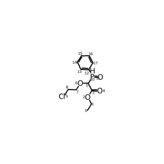 CCOC(=O)C(OCCCl)[PH](=O)c1ccccc1